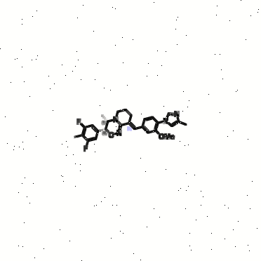 COc1cc(/C=C2\CCCN3C2=NO[C@H](c2cc(F)c(C)c(F)c2)[C@@H]3C)ccc1-n1cnc(C)c1